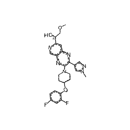 COC[C@H](O)c1cc2nc(-c3cnn(C)c3)c(N3CCC(Oc4ccc(F)cc4F)CC3)nc2cn1